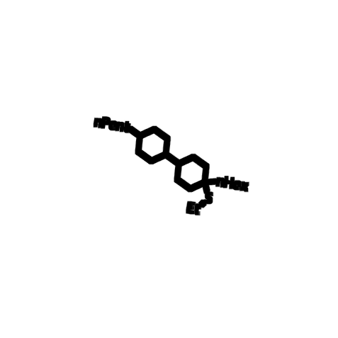 CCCCCCC1(SCC)CCC(C2CCC(CCCCC)CC2)CC1